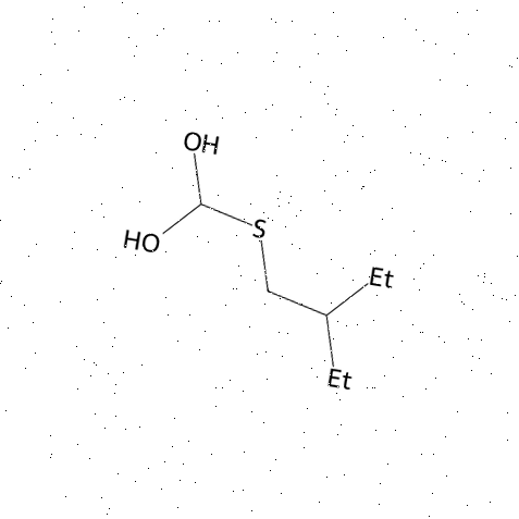 CCC(CC)CSC(O)O